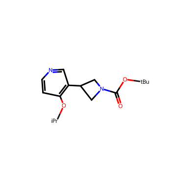 CC(C)Oc1ccncc1C1CN(C(=O)OC(C)(C)C)C1